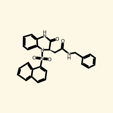 O=C(C[C@@H]1C(=O)Nc2ccccc2N1S(=O)(=O)c1cccc2ccccc12)NCc1ccccc1